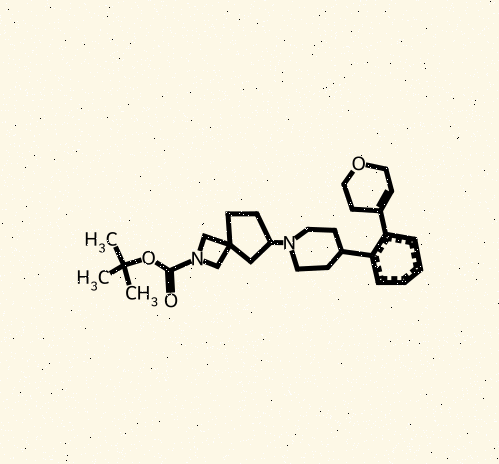 CC(C)(C)OC(=O)N1CC2(CCC(N3CCC(c4ccccc4C4=CCOCC4)CC3)C2)C1